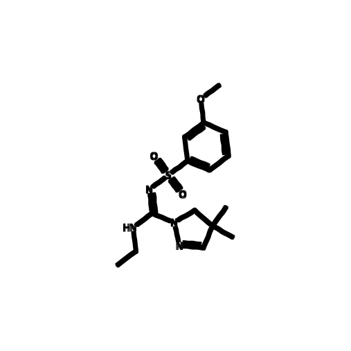 CCN/C(=N/S(=O)(=O)c1cccc(OC)c1)N1CC(C)(C)C=N1